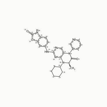 C[C@@H]1C(=O)N(c2cccnc2)c2cnc(Nc3ccc4[nH]c(=O)oc4c3)nc2N1C1CCCCC1